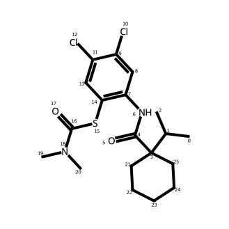 CC(C)C1(C(=O)Nc2cc(Cl)c(Cl)cc2SC(=O)N(C)C)CCCCC1